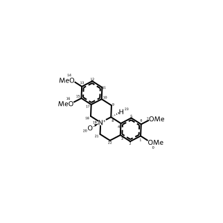 COc1cc2c(cc1OC)[C@@H]1Cc3ccc(OC)c(OC)c3C[N@@+]1([O-])CC2